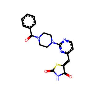 O=C1NC(=O)C(=Cc2ccnc(N3CCN(C(=O)c4ccccc4)CC3)n2)S1